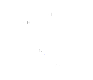 CS/C1=N/C=C(C=O)\C(Cl)=C\CC1C